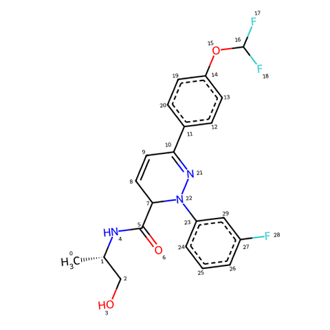 C[C@@H](CO)NC(=O)C1C=CC(c2ccc(OC(F)F)cc2)=NN1c1cccc(F)c1